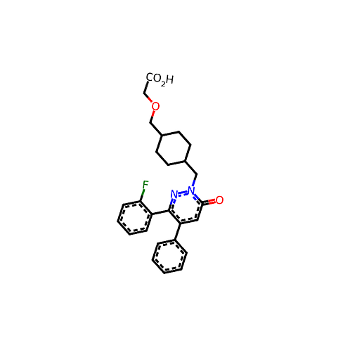 O=C(O)COCC1CCC(Cn2nc(-c3ccccc3F)c(-c3ccccc3)cc2=O)CC1